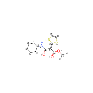 CC(C)OC(=O)C(C(=O)NC1CCCCC1)=C1SC=CS1